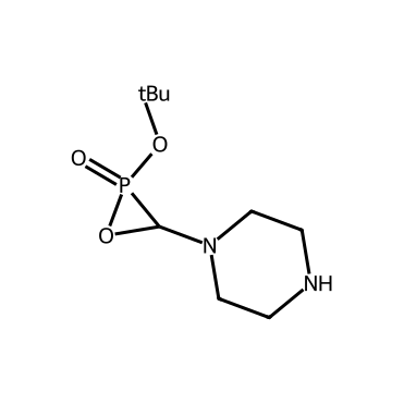 CC(C)(C)OP1(=O)OC1N1CCNCC1